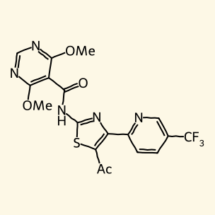 COc1ncnc(OC)c1C(=O)Nc1nc(-c2ccc(C(F)(F)F)cn2)c(C(C)=O)s1